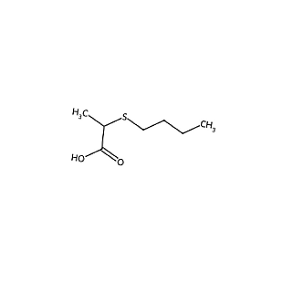 CCCCSC(C)C(=O)O